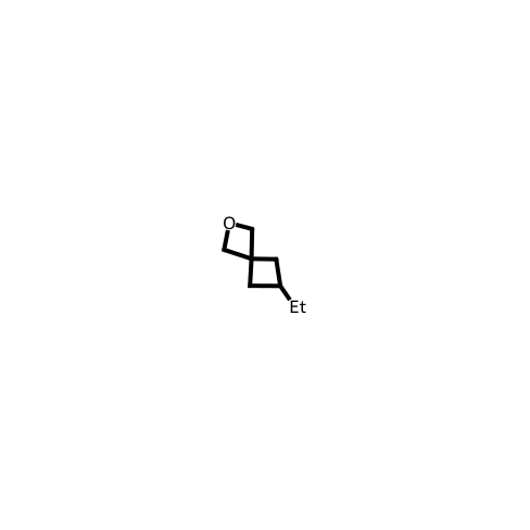 CCC1CC2(COC2)C1